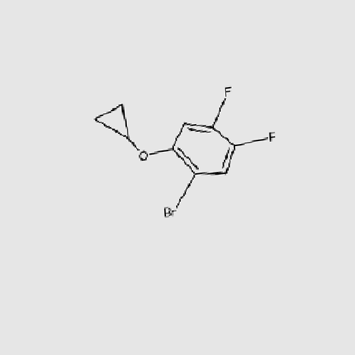 Fc1cc(Br)c(OC2CC2)cc1F